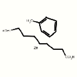 CCCCCCCCCCCCCCCCCC(=O)O.Cc1ccccc1.[Zn]